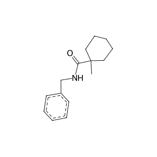 CC1(C(=O)NCc2ccccc2)CCCCC1